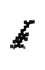 CC(C)/C(=C/c1ccc(OCCCC(=O)O)c(Cl)c1Cl)[N+](=O)[O-]